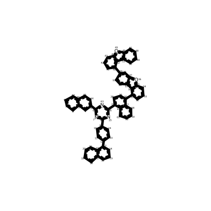 c1ccc2cc(-c3nc(-c4ccc(-c5cccc6ccccc56)cc4)nc(-c4ccc(-c5cccc6oc7cc(-c8cccc9oc%10ccccc%10c89)ccc7c56)c5ccccc45)n3)ccc2c1